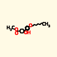 CCCCCCCOc1ccc(C2(O)CCC(C(=O)OCC)CC2)cc1